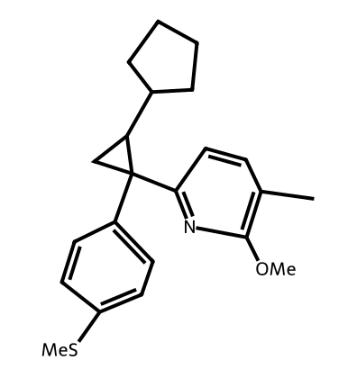 COc1nc(C2(c3ccc(SC)cc3)CC2C2CCCC2)ccc1C